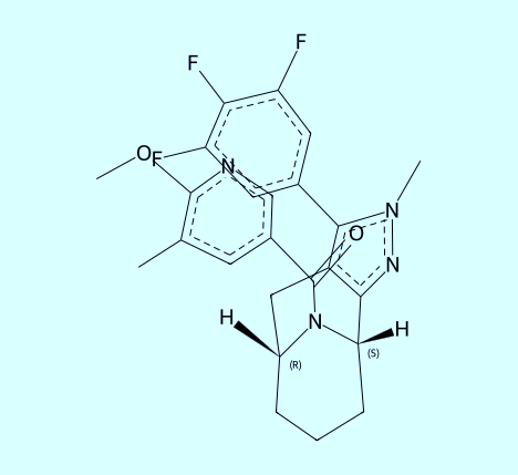 COc1ncc(C(=O)N2[C@@H]3CCC[C@H]2c2nn(C)c(-c4cc(F)c(F)c(F)c4)c2C3)cc1C